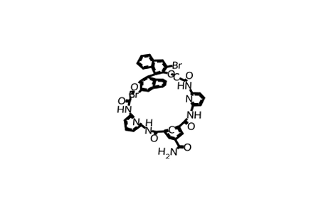 NC(=O)c1cc2cc(c1)C(=O)Nc1cccc(n1)NC(=O)COc1c(Br)cc3ccccc3c1-c1c(c(Br)cc3ccccc13)OCC(=O)Nc1cccc(n1)NC2=O